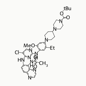 CCc1cc(Nc2ncc(Cl)c(Nc3ccc4nccnc4c3NS(C)(=O)=O)n2)c(OC)cc1N1CCC(N2CCN(C(=O)OC(C)(C)C)CC2)CC1